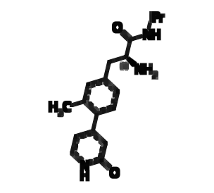 Cc1cc(C[C@H](N)C(=O)NC(C)C)ccc1-c1cc[nH]c(=O)c1